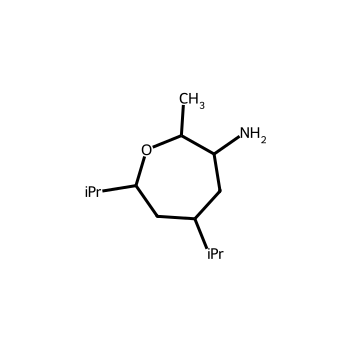 CC(C)C1CC(N)C(C)OC(C(C)C)C1